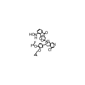 O=C(CN1C(=O)c2cccc(NO)c2C1=O)O[C@@H](Cc1c(Cl)cncc1Cl)c1ccc(OC(F)F)c(OCC2CC2)c1